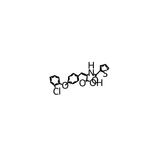 O=C(O)/C(=C\c1ccc(Oc2ccccc2Cl)cc1)NC(=O)c1cccs1